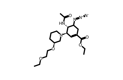 CCOCCO[C@H]1CCCN([C@@H]2C=C(C(=O)OCC)CC(N=[N+]=[N-])[C@H]2NC(C)=O)C1